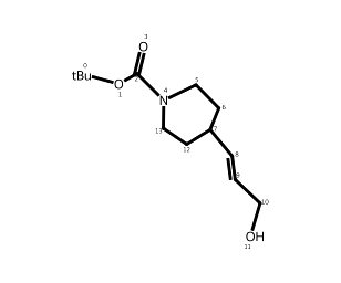 CC(C)(C)OC(=O)N1CCC(C=CCO)CC1